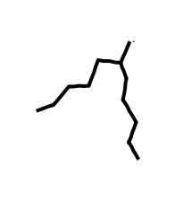 [CH2]C(CCCCC)CCCCC